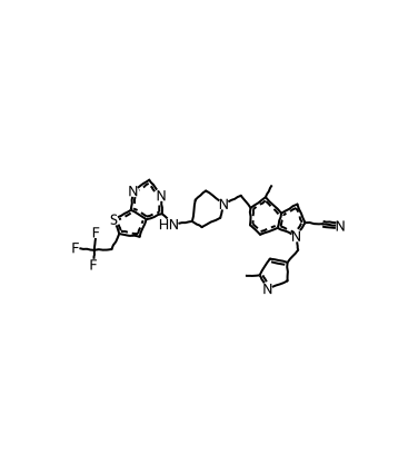 CC1=NCC(Cn2c(C#N)cc3c(C)c(CN4CCC(Nc5ncnc6sc(CC(F)(F)F)cc56)CC4)ccc32)=C1